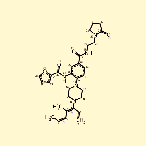 C=C/C(=C(C)\C=C/C)N1CCN(c2ccc(C(=O)NCCN3CCCC3=O)cc2NC(=O)c2ccco2)CC1